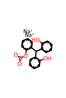 [Na+].[Na+].[O-]B([O-])Oc1ccccc1C(c1ccccc1O)c1ccccc1O